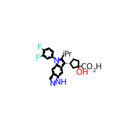 CC(C)c1c([C@@H]2CC[C@@](O)(C(=O)O)C2)c2cc3[nH]ncc3cc2n1-c1ccc(F)c(F)c1